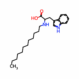 CCCCCCCCCCCCNC(Cc1c[nH]c2ccccc12)C(=O)O